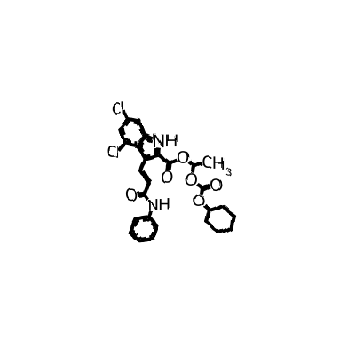 CC(OC(=O)OC1CCCCC1)OC(=O)c1[nH]c2cc(Cl)cc(Cl)c2c1C=CC(=O)Nc1ccccc1